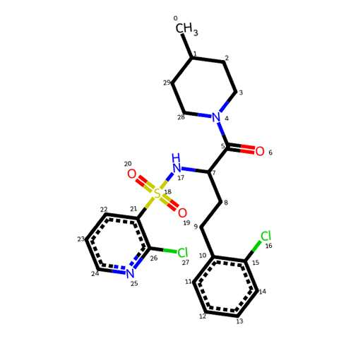 CC1CCN(C(=O)C(CCc2ccccc2Cl)NS(=O)(=O)c2cccnc2Cl)CC1